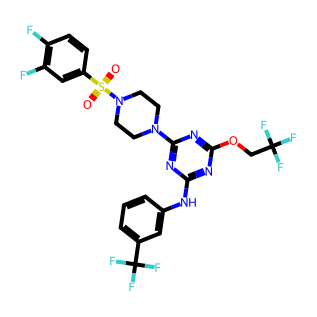 O=S(=O)(c1ccc(F)c(F)c1)N1CCN(c2nc(Nc3cccc(C(F)(F)F)c3)nc(OCC(F)(F)F)n2)CC1